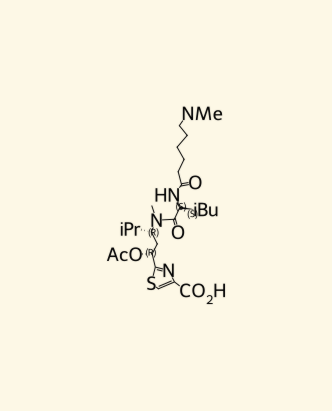 CC[C@H](C)[C@H](NC(=O)CCCCCNC)C(=O)N(C)[C@H](C[C@@H](OC(C)=O)c1nc(C(=O)O)cs1)C(C)C